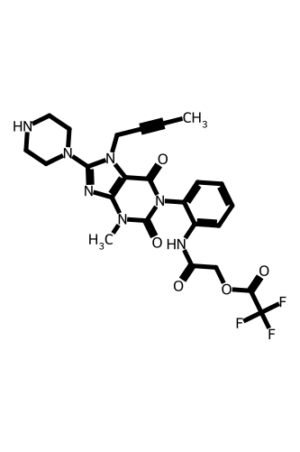 CC#CCn1c(N2CCNCC2)nc2c1c(=O)n(-c1ccccc1NC(=O)COC(=O)C(F)(F)F)c(=O)n2C